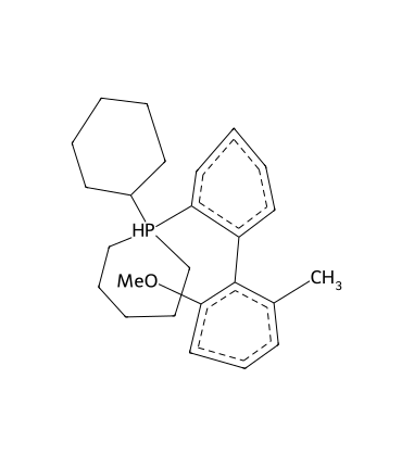 COc1cccc(C)c1-c1ccccc1[PH]1(C2CCCCC2)CCCCC1